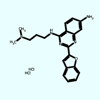 CN(C)CCCNc1nc(-c2cc3ccccc3o2)nc2cc(N)ccc12.Cl.Cl